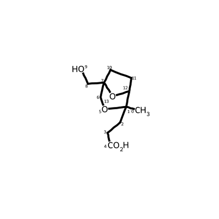 CC1(CCC(=O)O)OCC2(CO)CCC1O2